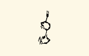 N#Cc1ccc(-n2ccnn2)nc1